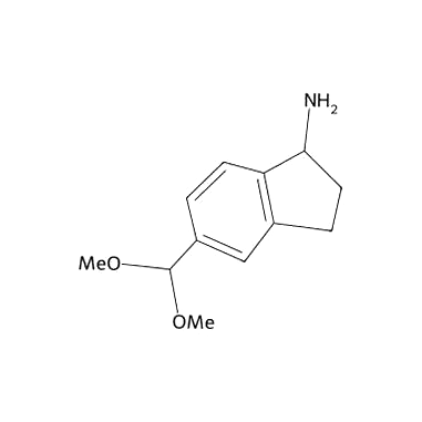 COC(OC)c1ccc2c(c1)CCC2N